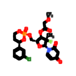 C[C@@]1(F)[C@H](OC(=O)COC(F)(F)F)[C@@H](CO[P@@]2(=O)OCC[C@@H](c3cccc(Cl)c3)O2)O[C@H]1N1C=CC(=O)CC1=O